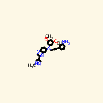 COc1cc(OC)cc(N(CC#Cc2cccc(N)c2)c2ccc3ncc(-c4cnn(C)c4)nc3c2)c1